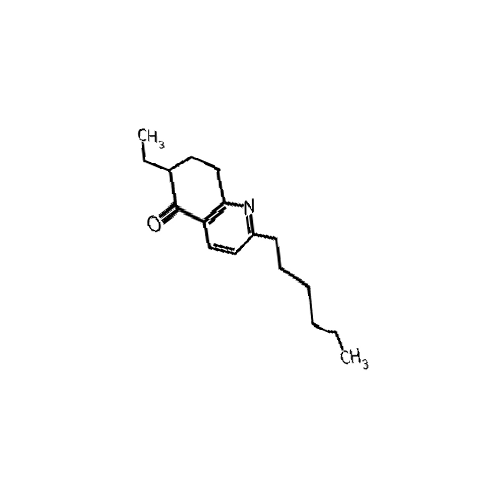 CCCCCCc1ccc2c(n1)CCC(CC)C2=O